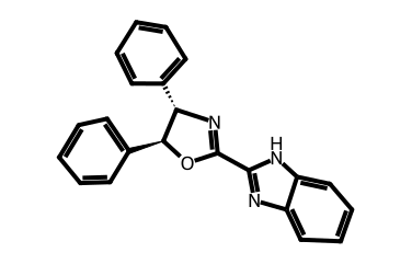 c1ccc([C@@H]2N=C(c3nc4ccccc4[nH]3)O[C@H]2c2ccccc2)cc1